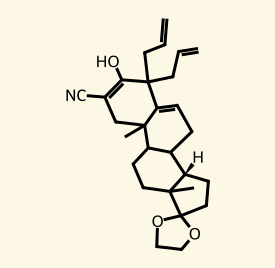 C=CCC1(CC=C)C2=CCC3C(CCC4(C)[C@H]3CCC43OCCO3)C2(C)CC(C#N)=C1O